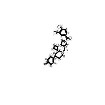 O=C(c1ccc(Cl)c(Cl)c1)N1C[C@@H](CN2CCC(c3ccc(F)cc3)CC2)[C@H](C2CCC2)C1